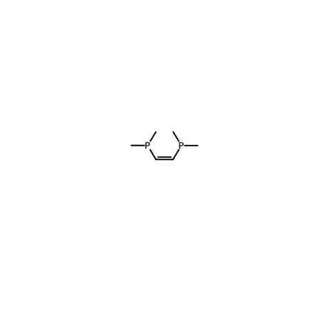 CP(C)/C=C\P(C)C